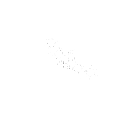 Br.N=C(Nc1ccc2c(c1)Cc1ccccc1-2)Nc1ccc2c(c1)Cc1ccccc1-2